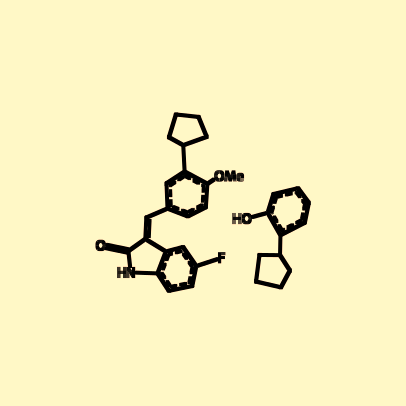 COc1ccc(/C=C2/C(=O)Nc3ccc(F)cc32)cc1C1CCCC1.Oc1ccccc1C1CCCC1